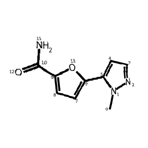 Cn1nccc1-c1ccc(C(N)=O)o1